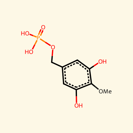 COc1c(O)cc(COP(=O)(O)O)cc1O